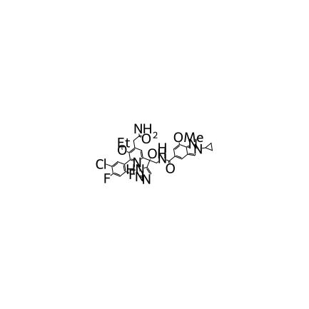 CCOc1c(CC(N)=O)cc([C@@](O)(CNC(=O)c2cc(OC)c3nn(C4CC4)cc3c2)c2cnn[nH]2)nc1-c1cc(Cl)c(F)cc1F